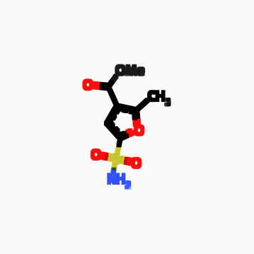 COC(=O)c1cc(S(N)(=O)=O)oc1C